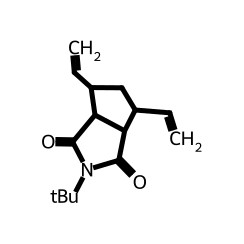 C=CC1CC(C=C)C2C(=O)N(C(C)(C)C)C(=O)C12